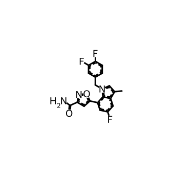 Cc1cn(Cc2ccc(F)c(F)c2)c2c(-c3cc(C(N)=O)no3)cc(F)cc12